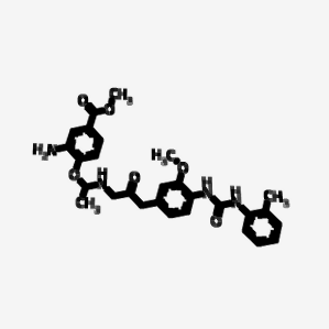 COC(=O)c1ccc(OC(C)NCC(=O)Cc2ccc(NC(=O)Nc3ccccc3C)c(OC)c2)c(N)c1